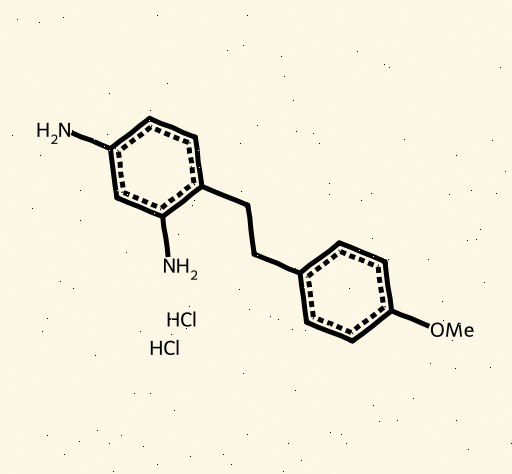 COc1ccc(CCc2ccc(N)cc2N)cc1.Cl.Cl